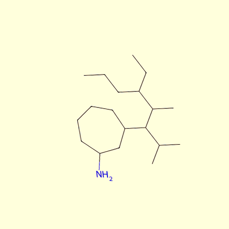 CCCC(CC)C(C)C(C(C)C)C1CCCCC(N)C1